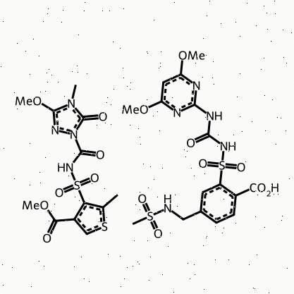 COC(=O)c1csc(C)c1S(=O)(=O)NC(=O)n1nc(OC)n(C)c1=O.COc1cc(OC)nc(NC(=O)NS(=O)(=O)c2cc(CNS(C)(=O)=O)ccc2C(=O)O)n1